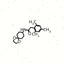 Cc1cc(C)c(CC(=O)NC2CCC3(CC2)OCCO3)c(C)c1